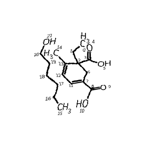 CCC1(C(=O)O)CC(C(=O)O)=CC=C1C.CCCCCCO